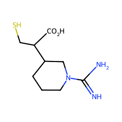 N=C(N)N1CCCC(C(CS)C(=O)O)C1